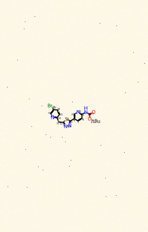 CC(C)(C)OC(=O)Nc1ccc(-c2nnc(Cc3ccc(Br)cn3)s2)cn1